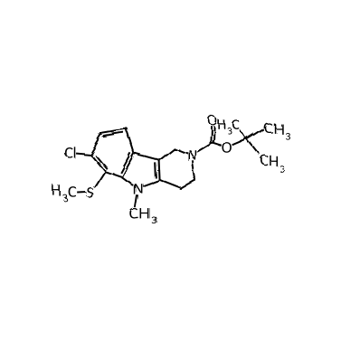 CSc1c(Cl)ccc2c3c(n(C)c12)CCN(C(=O)OC(C)(C)C)C3